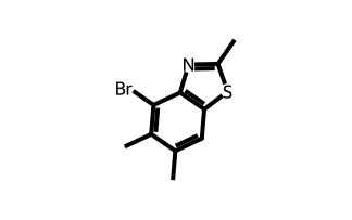 Cc1nc2c(Br)c(C)c(C)cc2s1